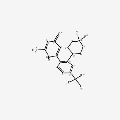 Cc1cc(=O)cc(-c2ccc(C(F)(F)F)cc2C2CCC(F)(F)CC2)[nH]1